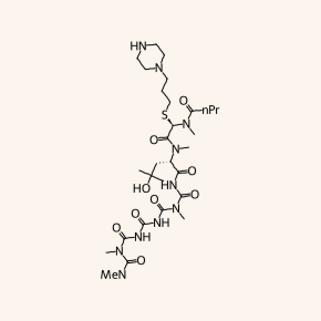 CCCC(=O)N(C)[C@H](SCCCN1CCNCC1)C(=O)N(C)[C@@H](CC(C)(C)O)C(=O)NC(=O)N(C)C(=O)NC(=O)NC(=O)N(C)C(=O)NC